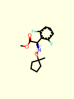 COC(=O)/C(=N\OC1(C)CCCC1)c1c(F)cccc1F